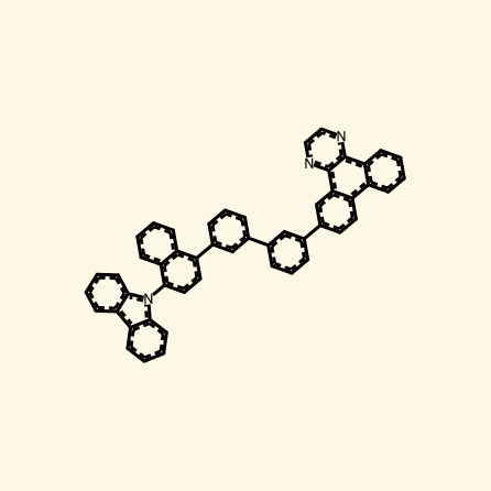 c1cc(-c2cccc(-c3ccc(-n4c5ccccc5c5ccccc54)c4ccccc34)c2)cc(-c2ccc3c4ccccc4c4nccnc4c3c2)c1